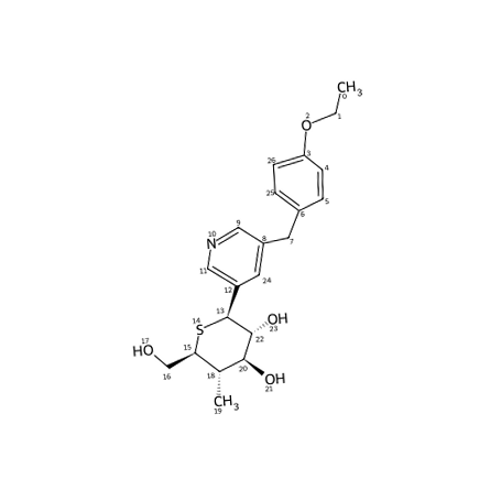 CCOc1ccc(Cc2cncc([C@@H]3S[C@H](CO)[C@@H](C)[C@H](O)[C@H]3O)c2)cc1